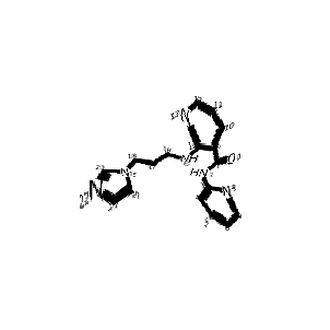 O=C(Nc1ccccn1)c1cccnc1NCCCn1ccnc1